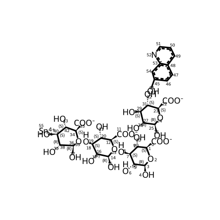 O=C([O-])[C@H]1O[C@@H](O)[C@H](O)[C@@H](O)[C@@H]1O.O=C([O-])[C@H]1O[C@@H](O)[C@H](O)[C@@H](O)[C@@H]1O.O=C([O-])[C@H]1O[C@@H](O)[C@H](O)[C@@H](O)[C@@H]1O.O=C([O-])[C@H]1O[C@@H](O)[C@H](O)[C@@H](O)[C@@H]1O.Oc1ccc2cccnc2c1.[Sn+4]